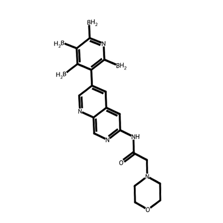 Bc1nc(B)c(-c2cnc3cnc(NC(=O)CN4CCOCC4)cc3c2)c(B)c1B